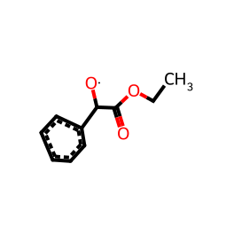 CCOC(=O)C([O])c1ccccc1